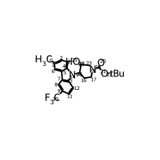 Cc1ccc2c(c1)c1cc(C(F)(F)F)ccc1n2[C@@H]1CCN(C(=O)OC(C)(C)C)C[C@H]1O